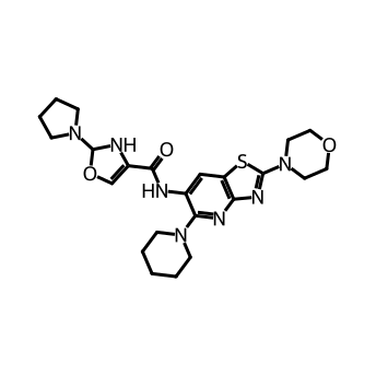 O=C(Nc1cc2sc(N3CCOCC3)nc2nc1N1CCCCC1)C1=COC(N2CCCC2)N1